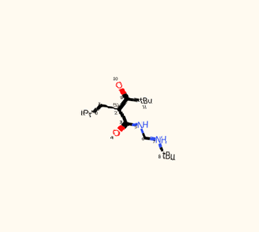 CC(C)C[C@H](C(=O)NCNC(C)(C)C)C(=O)C(C)(C)C